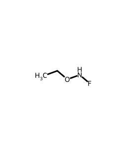 CCONF